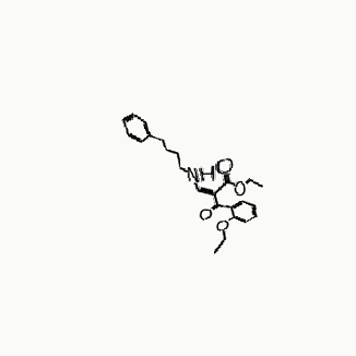 CCOC(=O)C(=CNCCCCc1ccccc1)C(=O)c1ccccc1OCC